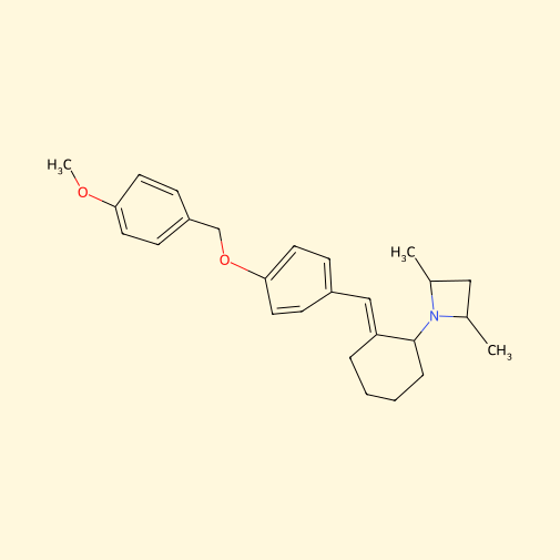 COc1ccc(COc2ccc(C=C3CCCCC3N3C(C)CC3C)cc2)cc1